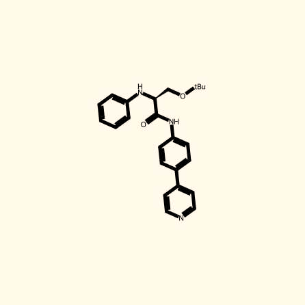 CC(C)(C)OC[C@H](Nc1ccccc1)C(=O)Nc1ccc(-c2ccncc2)cc1